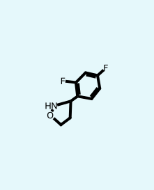 Fc1ccc(C2CCON2)c(F)c1